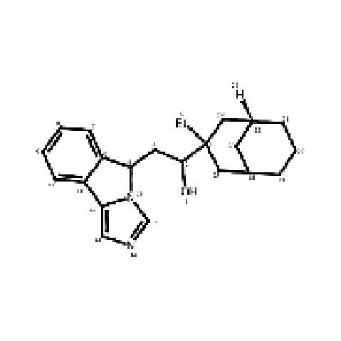 CCC1(C(O)CC2c3ccccc3-c3cncn32)CC2CCC[C@H](C2)C1